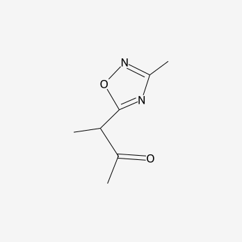 CC(=O)C(C)c1nc(C)no1